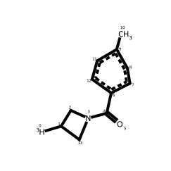 [3H]C1CN(C(=O)c2ccc(C)cc2)C1